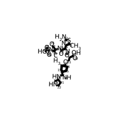 Cc1sc(N)nc1C(=NOC(COc1ccc(C(=N)NC2CCNC2)cc1)C(=O)O)C(=O)N[C@@H]1C(=O)N(S(=O)(=O)O)[C@@H]1C